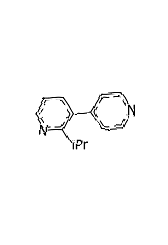 CC(C)c1ncccc1-c1ccncc1